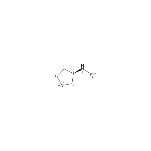 CCCN[C@@H]1CCNC1